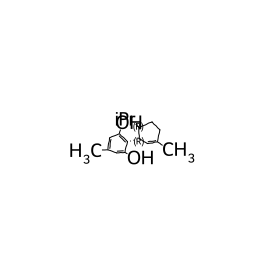 CC1=C[C@H](c2c(O)cc(C)cc2O)[C@@H](C(C)C)CC1